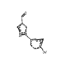 O=Cc1cnn(-c2ccc(O)cc2)c1